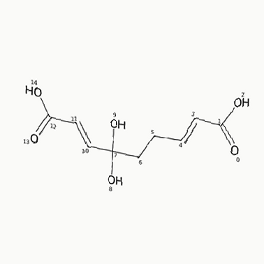 O=C(O)C=CCCC(O)(O)C=CC(=O)O